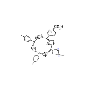 C=C(/C=C\C(C)=C/C)c1c2nc(c(C3=CC[C@H](C(=O)O)C=C3)c3ccc([nH]3)c(-c3ccc(C)cc3)c3nc(c(C4=CCC(C)C=C4)c4ccc1[nH]4)C=C3)C=C2